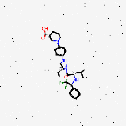 CC[C@@H](CNc1ccc(N2CCC[C@@H](C(=O)O)C2)cc1)NC(=O)[C@H](CC(C)C)N[C@@H](c1ccccc1)C(F)(F)F